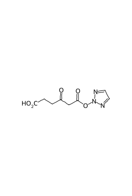 O=C(O)CCC(=O)CC(=O)On1nccn1